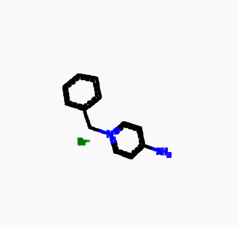 Nc1cc[n+](Cc2ccccc2)cc1.[Br-]